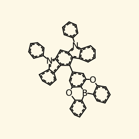 c1ccc(-n2c3ccccc3c3c(-c4cc5c6c(c4)Oc4ccccc4B6c4ccccc4O5)c4c5ccccc5n(-c5ccccc5)c4cc32)cc1